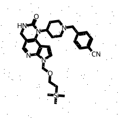 C[Si](C)(C)CCOCn1ccc2c3c(cnc21)CNC(=O)N3C1CCN(Cc2ccc(C#N)cc2)CC1